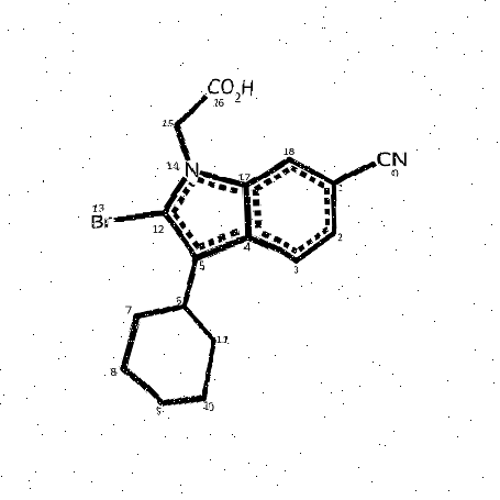 N#Cc1ccc2c(C3CCCCC3)c(Br)n(CC(=O)O)c2c1